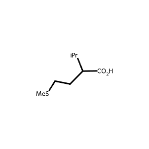 CSCCC(C(=O)O)C(C)C